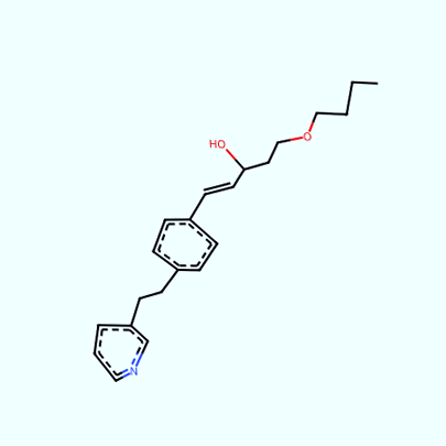 CCCCOCCC(O)C=Cc1ccc(CCc2cccnc2)cc1